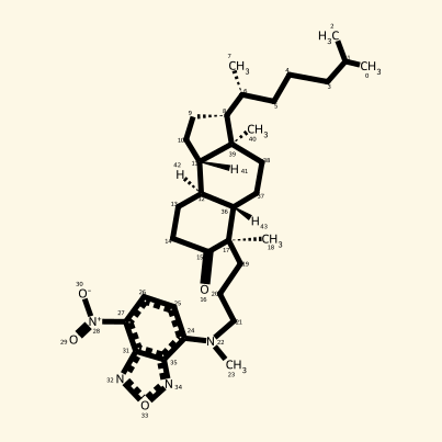 CC(C)CCC[C@@H](C)[C@H]1CC[C@H]2[C@@H]3CCC(=O)[C@](C)(CCCN(C)c4ccc([N+](=O)[O-])c5nonc45)[C@H]3CC[C@]12C